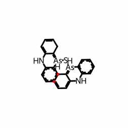 C1=CCC2=[AsH](S[AsH]3=C4CC=CC=C4Nc4ccccc43)c3ccccc3NC2=C1